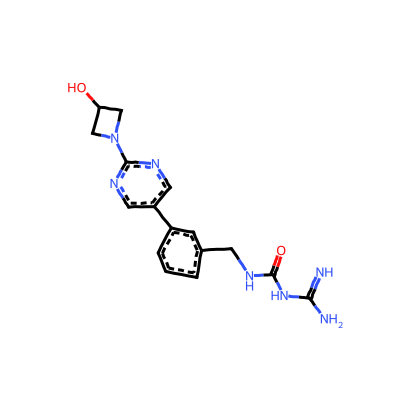 N=C(N)NC(=O)NCc1cccc(-c2cnc(N3CC(O)C3)nc2)c1